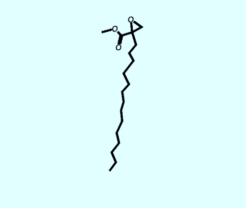 CCCCCCCCCCCCCCC1(C(=O)OC)CO1